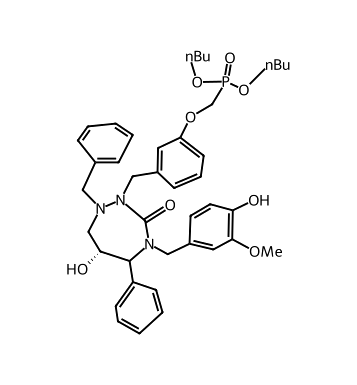 CCCCOP(=O)(COc1cccc(CN2C(=O)N(Cc3ccc(O)c(OC)c3)C(c3ccccc3)[C@H](O)CN2Cc2ccccc2)c1)OCCCC